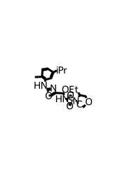 CCC1COCCN1S(=O)(=O)NC(=O)c1coc(Nc2cc(C(C)C)ccc2C)n1